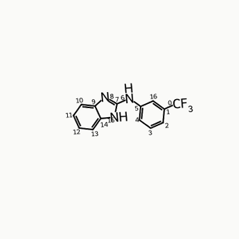 FC(F)(F)c1cccc(Nc2nc3ccccc3[nH]2)c1